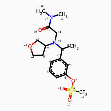 CC(c1cccc(OS(=O)(=O)C(F)(F)F)c1)N(CC(=O)N(C)C)C1CCOC1